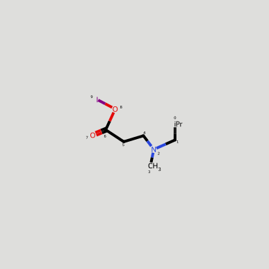 CC(C)CN(C)CCC(=O)OI